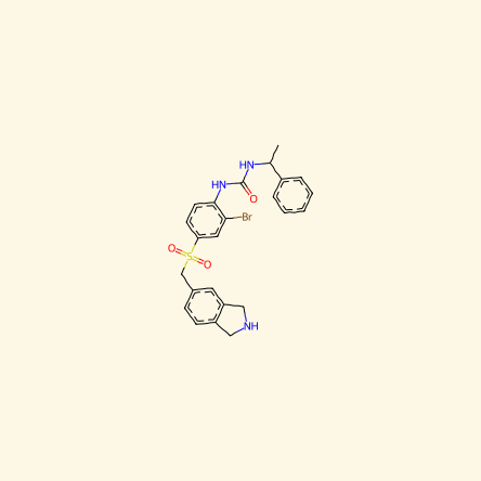 CC(NC(=O)Nc1ccc(S(=O)(=O)Cc2ccc3c(c2)CNC3)cc1Br)c1ccccc1